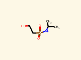 CC(C)NS(=O)(=O)CCO